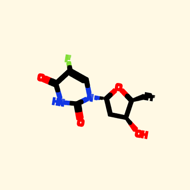 CC(C)[C@@H]1O[C@@H](n2cc(F)c(=O)[nH]c2=O)C[C@@H]1O